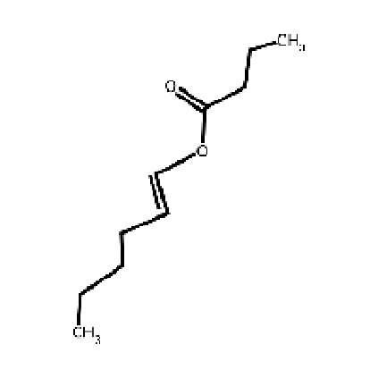 CCCCC=COC(=O)CCC